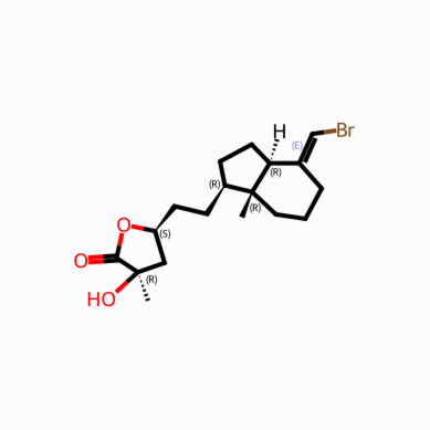 C[C@]12CCC/C(=C\Br)[C@@H]1CC[C@@H]2CC[C@H]1C[C@@](C)(O)C(=O)O1